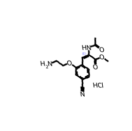 COC(=O)/C(=C\c1ccc(C#N)cc1OCCN)NC(C)=O.Cl